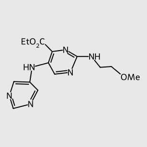 CCOC(=O)c1nc(NCCOC)ncc1Nc1cncnc1